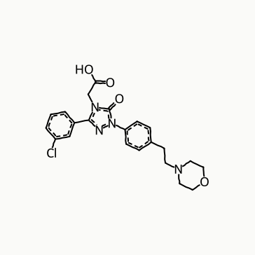 O=C(O)Cn1c(-c2cccc(Cl)c2)nn(-c2ccc(CCN3CCOCC3)cc2)c1=O